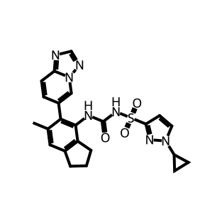 Cc1cc2c(c(NC(=O)NS(=O)(=O)c3ccn(C4CC4)n3)c1-c1ccc3ncnn3c1)CCC2